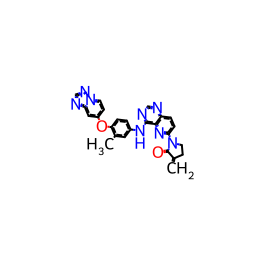 C=C1CCN(c2ccc3ncnc(Nc4ccc(Oc5ccn6ncnc6c5)c(C)c4)c3n2)C1=O